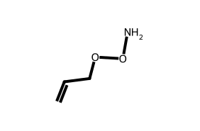 C=CCOON